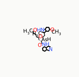 COc1ccc2[nH]c(C)c(CC(=O)[AsH][C@@H](CCCCCC(C)=O)C(=O)Nc3cccc4cnccc34)c2c1